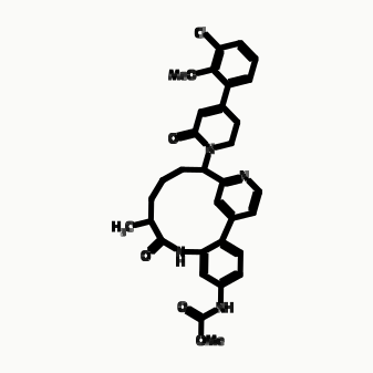 COC(=O)Nc1ccc2c(c1)NC(=O)C(C)CCCC(N1CCC(c3cccc(Cl)c3OC)=CC1=O)c1cc-2ccn1